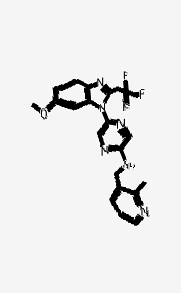 COc1ccc2nc(C(F)(F)F)n(-c3cnc(NCc4cccnc4C)cn3)c2c1